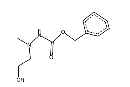 CN(CCO)NC(=O)OCc1ccccc1